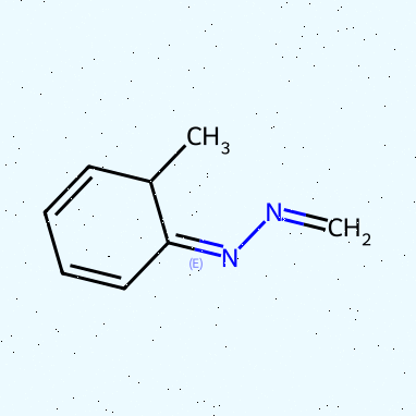 C=N/N=C1/C=CC=CC1C